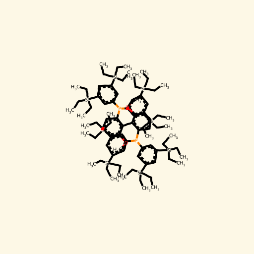 CC[Si](CC)(CC)c1cc(P(c2cc([Si](CC)(CC)CC)cc([Si](CC)(CC)CC)c2)c2cccc(OC)c2-c2c(OC)cccc2P(c2cc([Si](CC)(CC)CC)cc([Si](CC)(CC)CC)c2)c2cc([Si](CC)(CC)CC)cc([Si](CC)(CC)CC)c2)cc([Si](CC)(CC)CC)c1